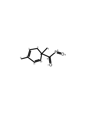 CC1=CCC(C)(C(=O)P=O)C=C1